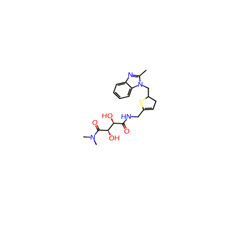 Cc1nc2ccccc2n1CC1CC=C(CNC(=O)[C@H](O)[C@@H](O)C(=O)N(C)C)S1